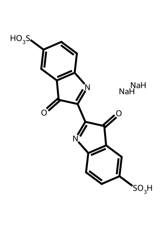 O=C1C(C2=Nc3ccc(S(=O)(=O)O)cc3C2=O)=Nc2ccc(S(=O)(=O)O)cc21.[NaH].[NaH]